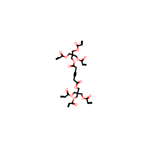 C=CC(=O)OCC(COC(=O)C=C)(COC(=O)C=C)COC(=O)CC#CCC(=O)OCC(COC(=O)C=C)(COC(=O)C=C)COC(=O)C=C